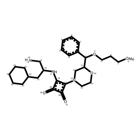 COCCCOC(c1ccccc1)C1CN(c2c(NC(CN)CC3CCCCC3)c(=O)c2=O)CCO1